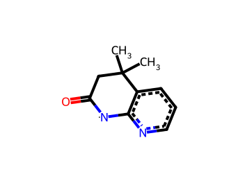 CC1(C)CC(=O)[N]c2ncccc21